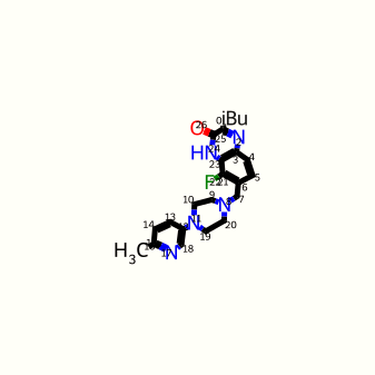 CCC(C)c1nc2ccc(CN3CCN(c4ccc(C)nc4)CC3)c(F)c2[nH]c1=O